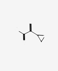 C=C(C(=O)O)C1CO1